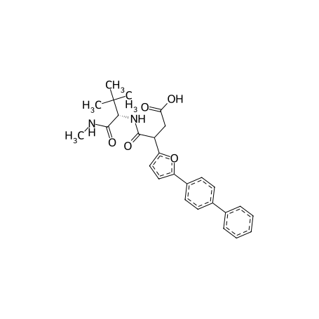 CNC(=O)[C@@H](NC(=O)C(CC(=O)O)c1ccc(-c2ccc(-c3ccccc3)cc2)o1)C(C)(C)C